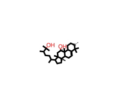 CC(CCC(C)C(C)(C)O)C1CC[C@@]2(C)C3CC=C4C(CC[C@H](C)C4(C)C)C3(C)[C@H](O)CC12C